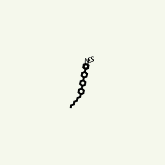 CCCCCCCC1CCC(C2CCC(C3CCC(c4ccc(N=C=S)cc4)CC3)CC2)CC1